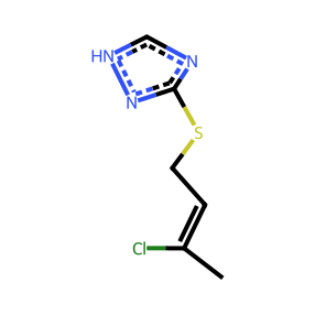 CC(Cl)=CCSc1nc[nH]n1